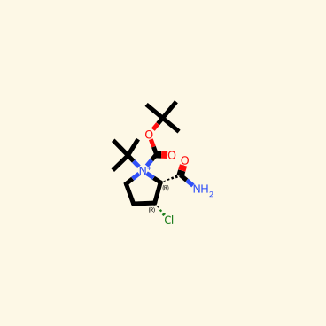 CC(C)(C)OC(=O)[N+]1(C(C)(C)C)CC[C@@H](Cl)[C@H]1C(N)=O